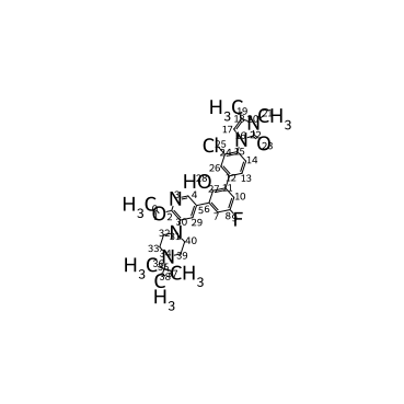 COc1ncc(-c2cc(F)cc(-c3ccc(-n4cc(C)n(C)c4=O)c(Cl)c3)c2O)cc1N1CCN(C(C)(C)C)CC1